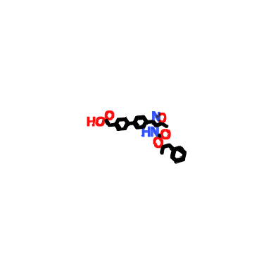 Cc1onc(-c2ccc(-c3ccc(CC(=O)O)cc3)cc2)c1NC(=O)OC(C)Cc1ccccc1